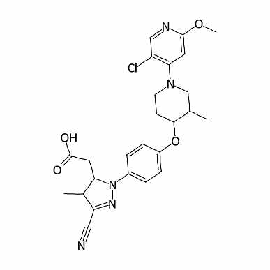 COc1cc(N2CCC(Oc3ccc(N4N=C(C#N)C(C)C4CC(=O)O)cc3)C(C)C2)c(Cl)cn1